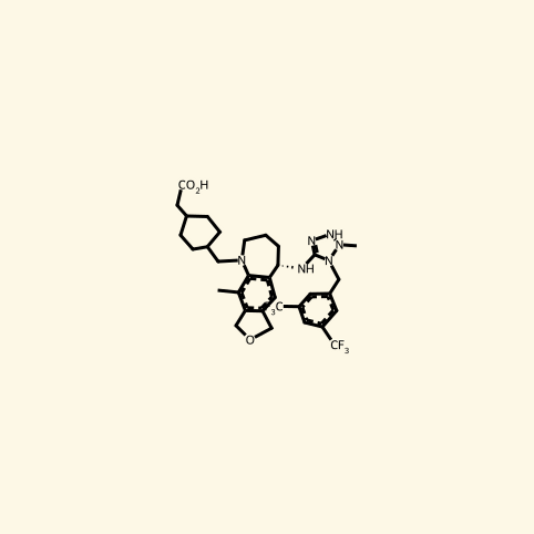 Cc1c2c(cc3c1N(CC1CCC(CC(=O)O)CC1)CCC[C@@H]3NC1=NNN(C)N1Cc1cc(C(F)(F)F)cc(C(F)(F)F)c1)COC2